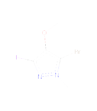 COc1c(I)nn(C)c1Br